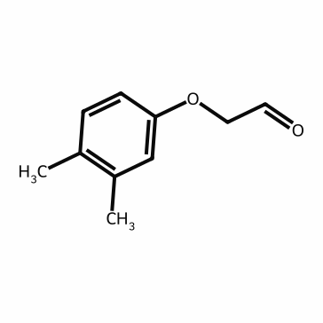 Cc1ccc(OCC=O)cc1C